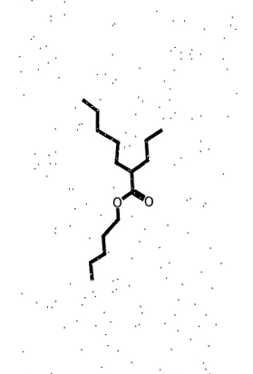 CCCCCOC(=O)C(CCC)CCCCC